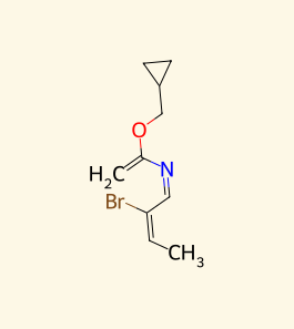 C=C(/N=C\C(Br)=C/C)OCC1CC1